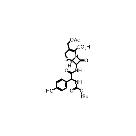 CC(=O)OCC1=C(C(=O)O)N2C(=O)C(NC(=O)C(NC(=O)OC(C)(C)C)c3ccc(O)cc3)[C@H]2SC1